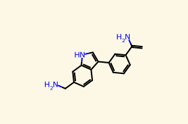 C=C(N)c1cccc(-c2c[nH]c3cc(CN)ccc23)c1